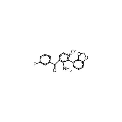 Nc1c(C(=O)c2cccc(F)c2)cc[n+]([O-])c1-c1cccc2c1OCO2